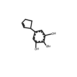 CC(C)(C)c1c(O)cc(C2C=CCC2)cc1O